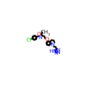 Cc1oc(-c2ccc(Cl)cc2)nc1CCOc1cccc2c1CCCN2CCc1nnn[nH]1